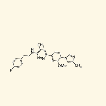 COc1nc(-c2cc(C)c(NCCc3ccc(F)cc3)nn2)ccc1-n1cnc(C)c1